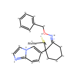 CNC(=S)C1(c2ccc3nccn3c2)CCCC/C1=N/OCc1ccccc1